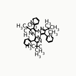 CC(C)(C)c1nn2c(c1-c1ccccn1)n1nc(C(C)(C)C)c(-c3ccccn3)c1n1nc(C(C)(C)C)c(-c3ccccn3)c21